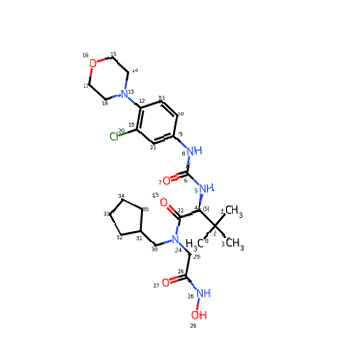 CC(C)(C)[C@H](NC(=O)Nc1ccc(N2CCOCC2)c(Cl)c1)C(=O)N(CC(=O)NO)CC1CCCC1